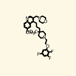 COc1ccc2ncc(CN3CCOCC3)c(CCCC3(C(=O)O)CCN(CCOc4cc(F)cc(F)c4F)CC3)c2c1